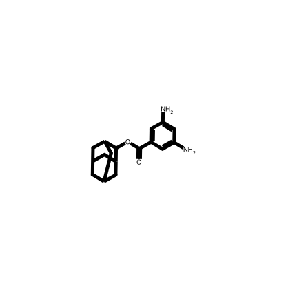 Nc1cc(N)cc(C(=O)OC2C3CC4CC(C3)CC2C4)c1